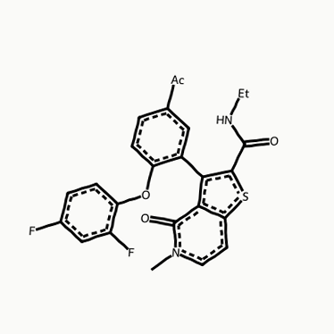 CCNC(=O)c1sc2ccn(C)c(=O)c2c1-c1cc(C(C)=O)ccc1Oc1ccc(F)cc1F